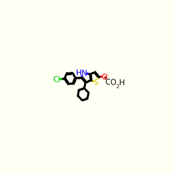 O=C(O)Oc1cc2[nH]c(-c3ccc(Cl)cc3)c(C3CCCCC3)c2s1